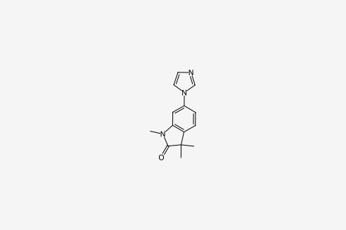 CN1C(=O)C(C)(C)c2ccc(-n3ccnc3)cc21